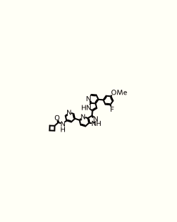 COc1cc(F)cc(-c2ccnc3[nH]c(-c4n[nH]c5ccc(-c6cncc(NC(=O)C7CCC7)c6)nc45)cc23)c1